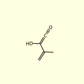 C=C(C)C(O)=C=O